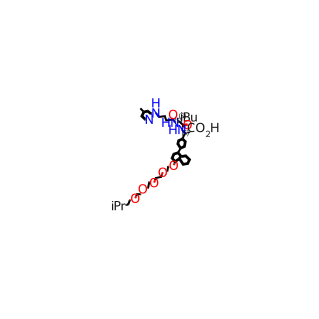 CC[C@H](C)[C@H](NC(=O)CCCNc1cc(C)ccn1)C(=O)N[C@@H](CC(=O)O)c1ccc(-c2ccc(OCCOCCOCCOCCOCCC(C)C)c3ccccc23)cc1